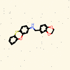 c1ccc2c(c1)Oc1cc(NCc3ccc4c(c3)OCCO4)ccc1S2